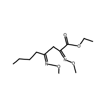 CCCCC(CC(=NOC)C(=O)OCC)=NOC